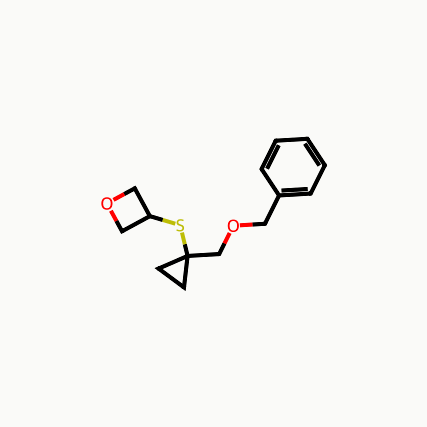 c1ccc(COCC2(SC3COC3)CC2)cc1